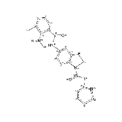 Cc1cccc(C(=O)Nc2ccc3c(c2)CCN3C(=O)Cc2ccccn2)c1N(C)C